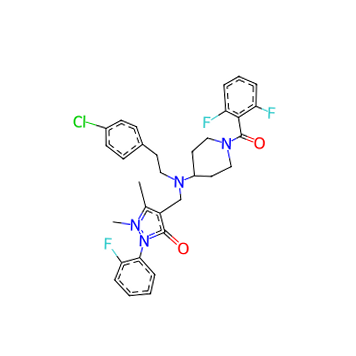 Cc1c(CN(CCc2ccc(Cl)cc2)C2CCN(C(=O)c3c(F)cccc3F)CC2)c(=O)n(-c2ccccc2F)n1C